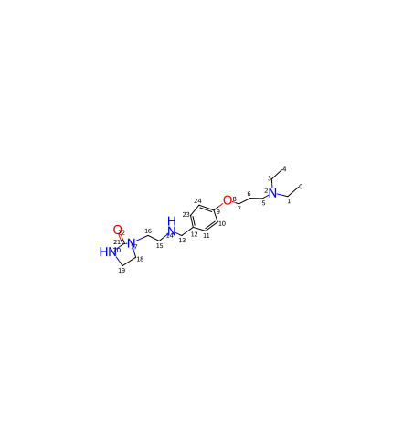 CCN(CC)CCCOc1ccc(CNCCN2CCNC2=O)cc1